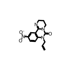 C=CCN1C(=O)N2CCCN=C2c2cc([N+](=O)[O-])ccc21